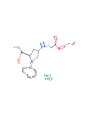 C=CCOC(=O)CNC1CC(C(=O)OC)N(c2ccccc2)C1.Cl.Cl